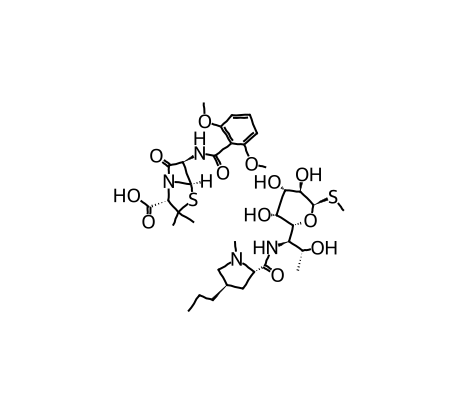 CCC[C@@H]1C[C@@H](C(=O)N[C@@H]([C@H]2O[C@H](SC)[C@H](O)[C@@H](O)[C@H]2O)[C@@H](C)O)N(C)C1.COc1cccc(OC)c1C(=O)N[C@@H]1C(=O)N2[C@@H]1SC(C)(C)[C@@H]2C(=O)O